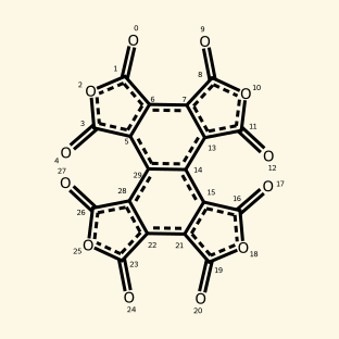 O=c1oc(=O)c2c1c1c(=O)oc(=O)c1c1c3c(=O)oc(=O)c3c3c(=O)oc(=O)c3c21